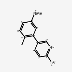 CCCc1ccc(-c2cc(NC)ccc2C)cn1